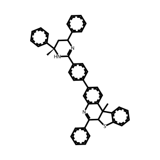 CC12c3ccc(-c4ccc(C5=NC(c6ccccc6)C[C@@](C)(c6ccccc6)N5)cc4)cc3N=C(c3ccccc3)C1Sc1ccccc12